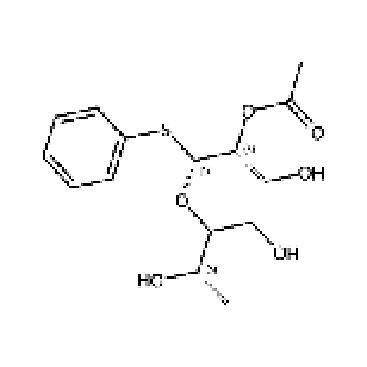 CC(=O)O[C@H](CO)[C@H](OC(CO)[C@H](C)O)Sc1ccccc1